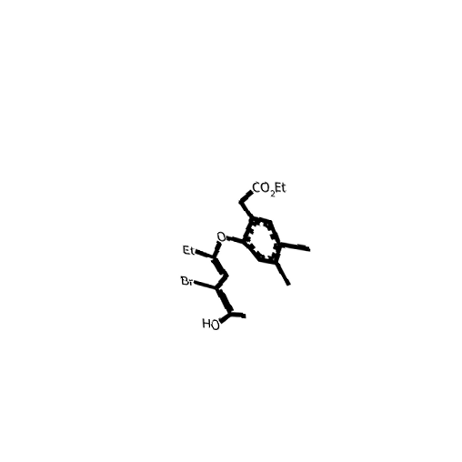 CCOC(=O)Cc1cc(C)c(C)cc1OC(=C/C(Br)=C(\C)O)CC